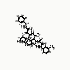 COc1cccc2[nH]c(C(=O)N3C[C@@H]4CCC[C@@H]4[C@H]3C(=O)NC(C[C@@H]3CCNC3=O)C(=O)C(=O)NCc3ccccc3)nc12